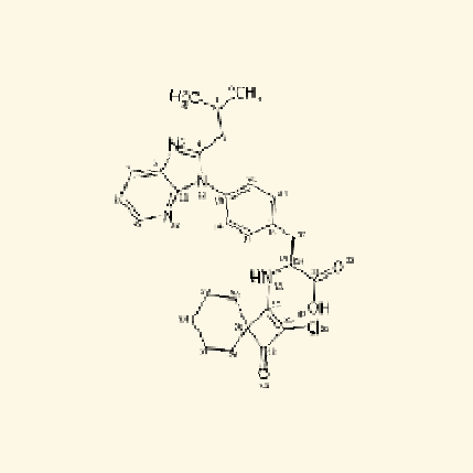 CC(C)Cc1nc2cccnc2n1-c1ccc(C[C@H](NC2=C(Cl)C(=O)C23CCCCC3)C(=O)O)cc1